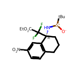 CCOC(=O)C(F)(F)[C@@]1(N[S+]([O-])C(C)(C)C)CCCc2ccc([N+](=O)[O-])cc21